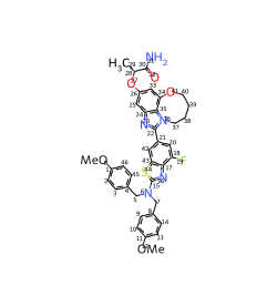 COc1ccc(CN(Cc2ccc(OC)cc2)c2nc3c(F)cc(-c4nc5cc(O[C@@H](C)C(N)=O)cc6c5n4CCCCO6)cc3s2)cc1